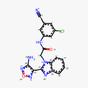 N#Cc1cc(Cl)cc(NC(=O)Cn2c(-c3nonc3N)nc3ccccc32)c1